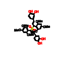 COc1cc(OC)c(C(C=Cc2ccc(O)c(O)c2)S(=O)(=O)C(C=Cc2ccc(O)c(O)c2)c2c(OC)cc(OC)cc2OC)c(OC)c1